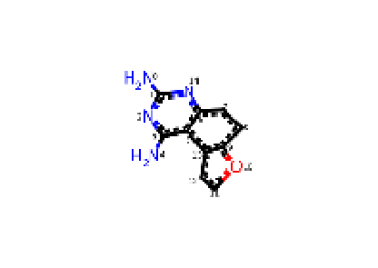 Nc1nc(N)c2c(ccc3occc32)n1